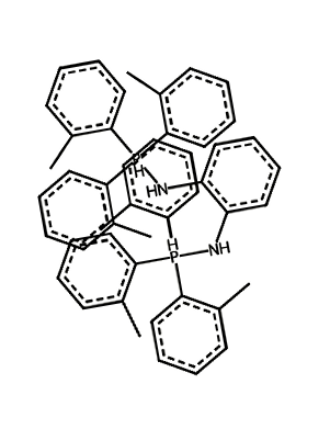 Cc1ccccc1[PH](Nc1ccccc1N[PH](c1ccccc1C)(c1ccccc1C)c1ccccc1C)(c1ccccc1C)c1ccccc1C